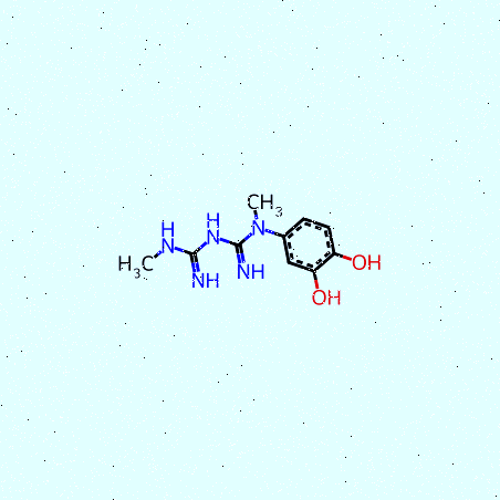 CNC(=N)NC(=N)N(C)c1ccc(O)c(O)c1